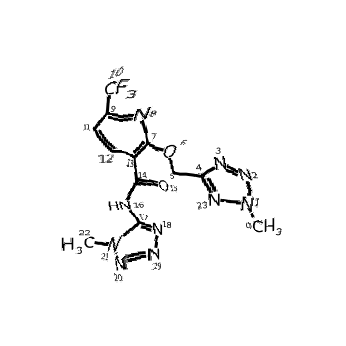 Cn1nnc(COc2nc(C(F)(F)F)ccc2C(=O)Nc2nnnn2C)n1